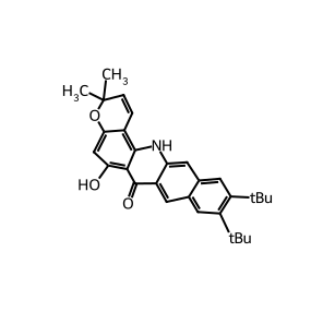 CC1(C)C=Cc2c(cc(O)c3c(=O)c4cc5cc(C(C)(C)C)c(C(C)(C)C)cc5cc4[nH]c23)O1